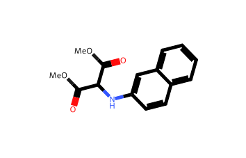 COC(=O)C(Nc1ccc2ccccc2c1)C(=O)OC